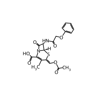 CC(=O)OC=C1S[C@H]2C(NC(=O)COc3ccccc3)C(=O)N2C(C(=O)O)=C1C